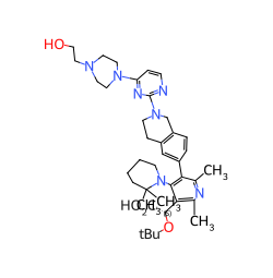 Cc1nc(C)c([C@H](OC(C)(C)C)C(=O)O)c(N2CCCCC2(C)C)c1-c1ccc2c(c1)CCN(c1nccc(N3CCN(CCO)CC3)n1)C2